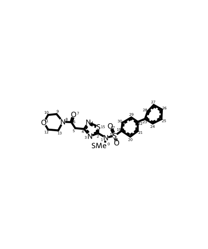 CSN(c1nc(CC(=O)N2CCOCC2)ns1)S(=O)(=O)c1ccc(-c2ccccc2)cc1